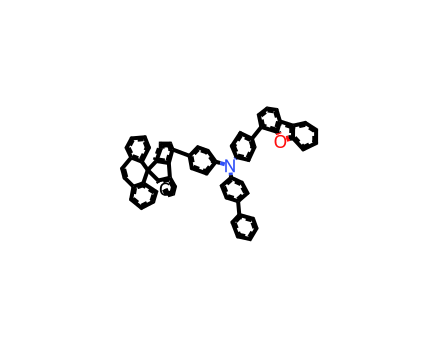 C1=Cc2ccccc2C2(c3ccccc31)c1ccccc1-c1c(-c3ccc(N(c4ccc(-c5ccccc5)cc4)c4ccc(-c5cccc6c5oc5ccccc56)cc4)cc3)cccc12